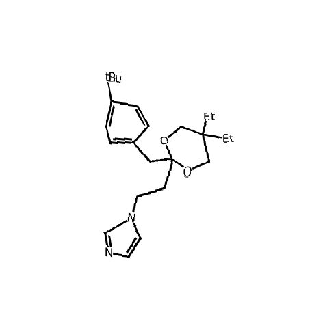 CCC1(CC)COC(CCn2ccnc2)(Cc2ccc(C(C)(C)C)cc2)OC1